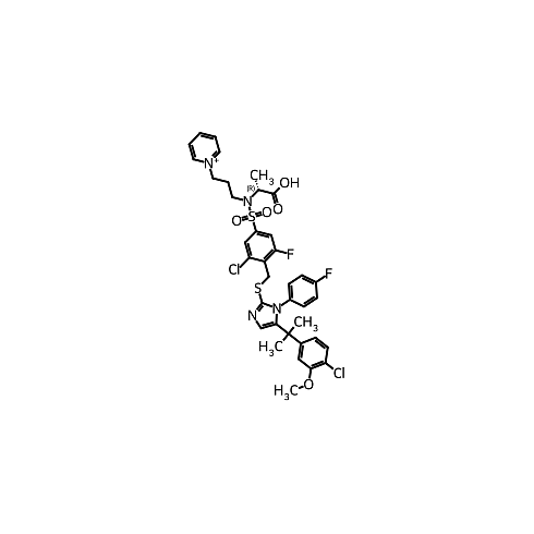 COc1cc(C(C)(C)c2cnc(SCc3c(F)cc(S(=O)(=O)N(CCC[n+]4ccccc4)[C@H](C)C(=O)O)cc3Cl)n2-c2ccc(F)cc2)ccc1Cl